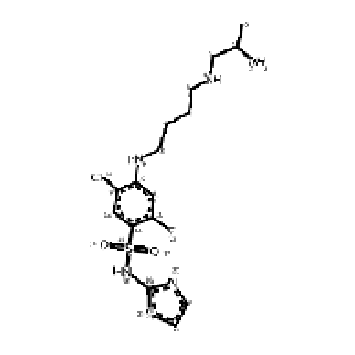 CC(N)CNCCCCNc1cc(F)c(S(=O)(=O)Nc2nccs2)cc1Cl